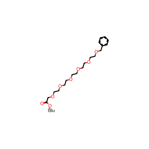 CC(C)(C)OC(=O)COCCOCCOCCOCCOCCOCc1ccccc1